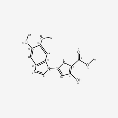 COC(=O)c1sc(-n2cnc3cc(OC)c(OC)cc32)cc1O